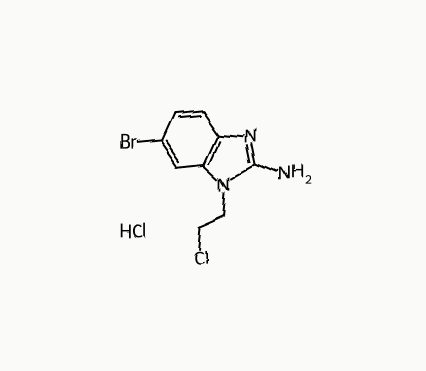 Cl.Nc1nc2ccc(Br)cc2n1CCCl